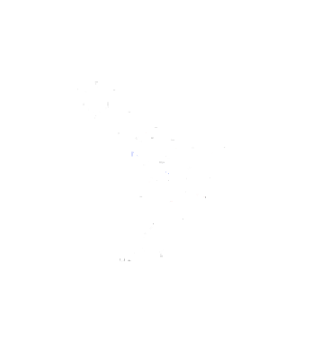 CCS(=O)(=O)OC1=C(C(=O)OCc2ccc(OC)cc2)N2C(=O)C(NC(=O)COc3ccccc3)[C@H]2SC1